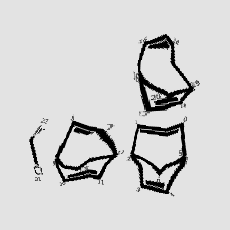 C1=CC2C=CC1C2.C1=CC2C=CC1C2.C1=CC2C=CC1C2.[Cl][Ir]